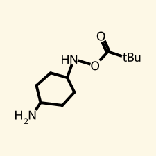 CC(C)(C)C(=O)ONC1CCC(N)CC1